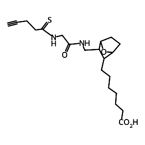 C#CCCC(=S)NCC(=O)NCC1C2CCC(O2)C1CCCCCCC(=O)O